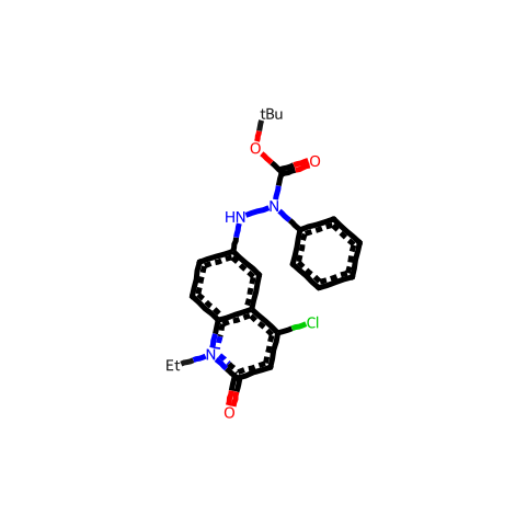 CCn1c(=O)cc(Cl)c2cc(NN(C(=O)OC(C)(C)C)c3ccccc3)ccc21